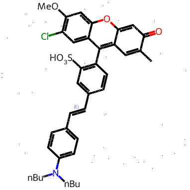 CCCCN(CCCC)c1ccc(/C=C/c2ccc(-c3c4cc(C)c(=O)cc-4oc4cc(OC)c(Cl)cc34)c(S(=O)(=O)O)c2)cc1